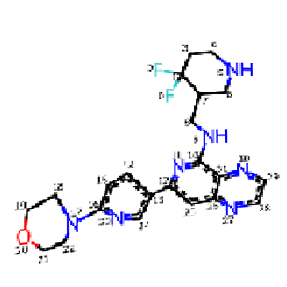 FC1(F)CCNCC1CNc1nc(-c2ccc(N3CCOCC3)nc2)cc2nccnc12